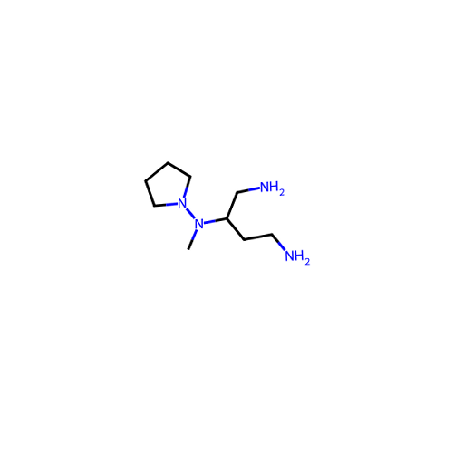 CN(C(CN)CCN)N1CCCC1